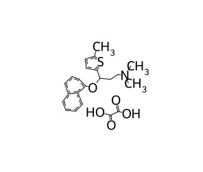 Cc1ccc(C(CCN(C)C)Oc2cccc3ccccc23)s1.O=C(O)C(=O)O